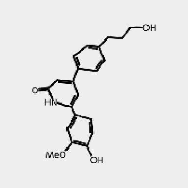 COc1cc(-c2cc(-c3ccc(CCCO)cc3)cc(=O)[nH]2)ccc1O